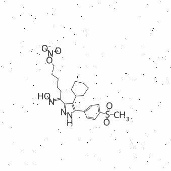 CS(=O)(=O)c1ccc(-c2[nH]nc(C(CCCCCO[N+](=O)[O-])=NO)c2C2CCCCC2)cc1